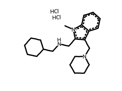 Cl.Cl.Cn1c(CNCC2CCCCC2)c(CN2CCCCC2)c2ccccc21